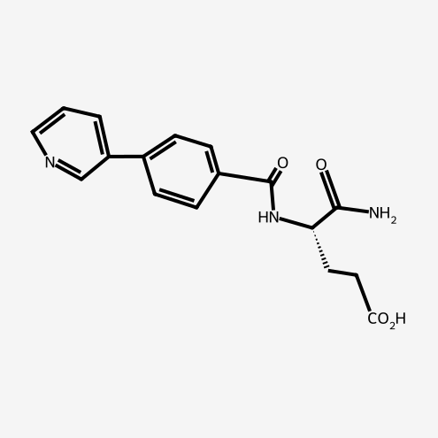 NC(=O)[C@H](CCC(=O)O)NC(=O)c1ccc(-c2cccnc2)cc1